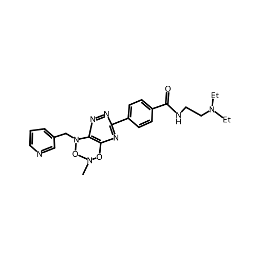 CCN(CC)CCNC(=O)c1ccc(-c2nnc3c(n2)on(C)on3Cc2cccnc2)cc1